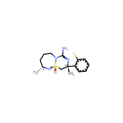 C[C@@]1(c2ccccc2F)CS2(=O)=N[C@H](C(F)(F)F)CCCN2C(N)=N1